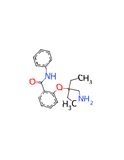 CCC(CC)(CN)Oc1ccccc1C(=O)Nc1ccccc1